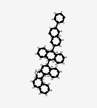 c1ccc(-c2ccc3cc(-c4c5ccccc5c(-c5cc6oc7ccc8ccccc8c7c6c6ccccc56)c5ccccc45)ccc3c2)cc1